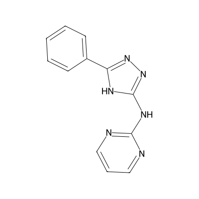 c1ccc(-c2nnc(Nc3ncccn3)[nH]2)cc1